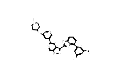 COc1cc(F)cc(-c2cccc3[nH]c(-c4n[nH]c5cnc(-c6cncc(OC7CCNCC7)c6)cc45)nc23)c1